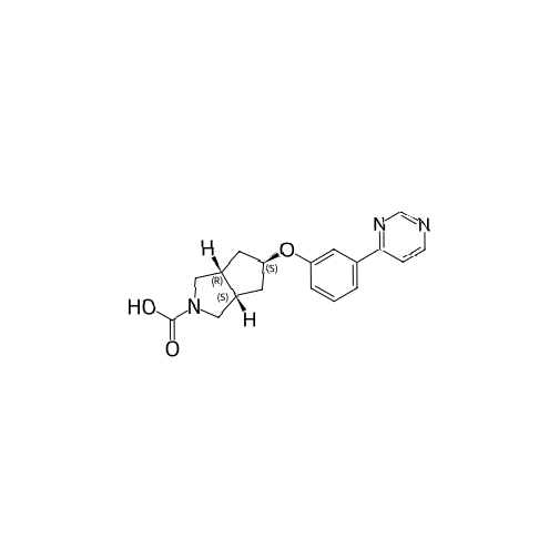 O=C(O)N1C[C@H]2C[C@H](Oc3cccc(-c4ccncn4)c3)C[C@H]2C1